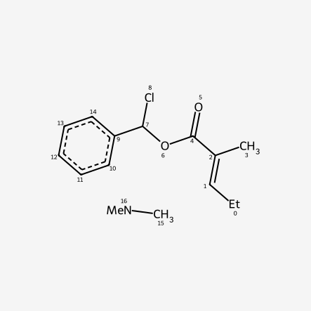 CCC=C(C)C(=O)OC(Cl)c1ccccc1.CNC